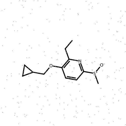 CCc1nc([S+](C)[O-])ccc1OCC1CC1